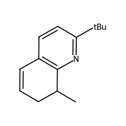 CC1CC=Cc2ccc(C(C)(C)C)nc21